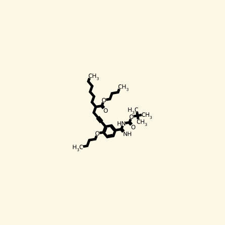 CCCCCCC(CC#Cc1cc(C(=N)NC(=O)OC(C)(C)C)ccc1OCCCC)C(=O)OCCCC